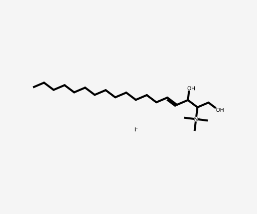 CCCCCCCCCCCCCC=CC(O)C(CO)[N+](C)(C)C.[I-]